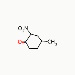 CC1CCC(=O)C([N+](=O)[O-])C1